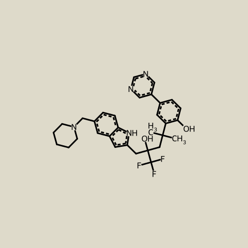 CC(C)(CC(O)(Cc1cc2cc(CN3CCCCC3)ccc2[nH]1)C(F)(F)F)c1cc(-c2cncnc2)ccc1O